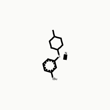 C#N.CC1CCC(Sc2cccc(C(C)(C)C)c2)CC1